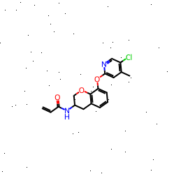 C=CC(=O)NC1COc2c(cccc2Oc2cc(C)c(Cl)cn2)C1